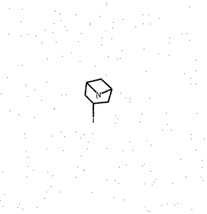 CN1C2CC(I)CC1C2